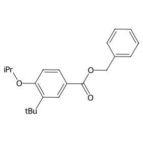 CC(C)Oc1ccc(C(=O)OCc2ccccc2)cc1C(C)(C)C